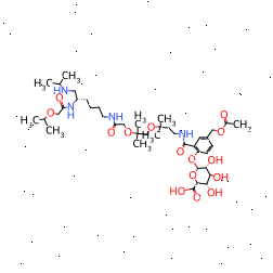 CC(=O)OCc1ccc(O[C@@H]2O[C@H](C(=O)O)[C@@H](O)[C@H](O)[C@H]2O)c(C(=O)NCCC(C)(C)OCC(C)(C)OCC(=O)NCCCC[C@@H](CNC(C)C)NC(=O)COC(C)C)c1